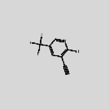 C#Cc1cc(C(F)(F)F)cnc1Cl